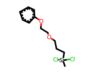 C[Si](Cl)(Cl)CCCOCCOc1ccccc1